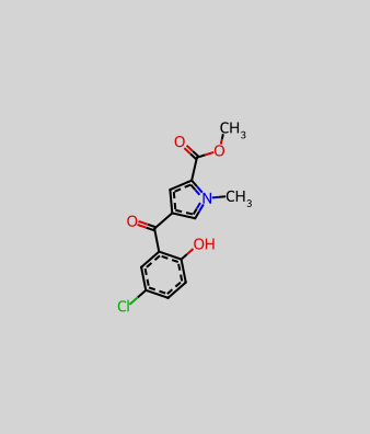 COC(=O)c1cc(C(=O)c2cc(Cl)ccc2O)cn1C